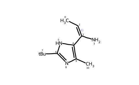 C/C=C(/N)c1[nH]c(C(C)(C)C)nc1C